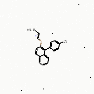 N#Cc1ccc(-c2c(S/C=C/C(=O)O)ccc3ccccc23)cc1